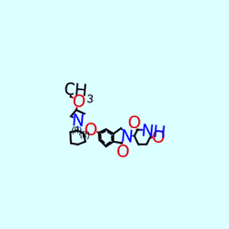 CCOC1CN([C@@H]2CCCC[C@H]2Oc2ccc3c(c2)CN(C2CCC(=O)NC2=O)C3=O)C1